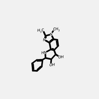 Cc1nc2c3c(ccc2n1C)C(O)C(O)C(c1ccccc1)N3